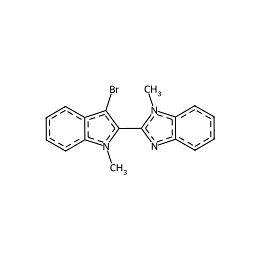 Cn1c(-c2c(Br)c3ccccc3n2C)nc2ccccc21